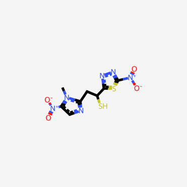 Cn1c([N+](=O)[O-])cnc1CC(S)c1nnc([N+](=O)[O-])s1